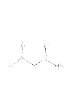 CCCC[SiH](CC)CN(CC)CC